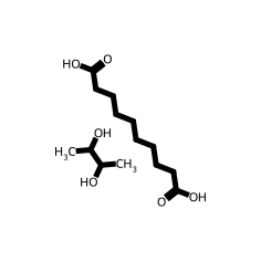 CC(O)C(C)O.O=C(O)CCCCCCCCC(=O)O